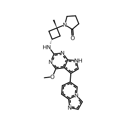 COc1nc(N[C@H]2C[C@@](C)(N3CCCC3=O)C2)nc2[nH]cc(-c3ccc4nccn4c3)c12